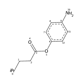 CC(C)CCC(=O)Oc1ccc(N)cc1